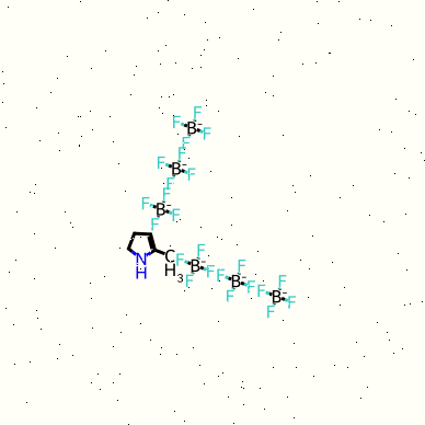 CC1=CCCN1.F[B-](F)(F)F.F[B-](F)(F)F.F[B-](F)(F)F.F[B-](F)(F)F.F[B-](F)(F)F.F[B-](F)(F)F